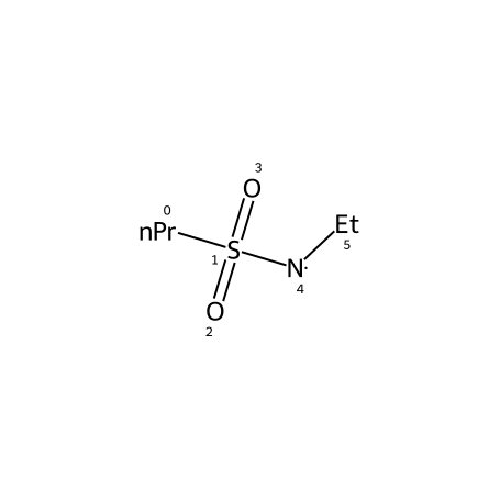 CCCS(=O)(=O)[N]CC